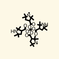 CN1C(C)(C)CC(C(=O)OC(OC(=O)C2CC(C)(C)NC2(C)C)(OC(=O)C2CC(C)(C)NC2(C)C)OC(=O)C2CC(C)(C)N(C)C2(C)C)C1(C)C